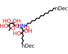 CCCCCCCCCCCCCCCCCCCCCCCC(=O)N[C@@H](CO[C@@H]1OC(C)[C@@H](O)C(O)[C@@H]1O)[C@H](O)[C@H](O)CCCCCCCCCCCCCC